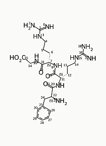 N=C(N)NCCC[C@H](NC(=O)[C@H](CCCNC(=N)N)NC(=O)[C@@H](N)Cc1ccccc1)C(=O)NCC(=O)O